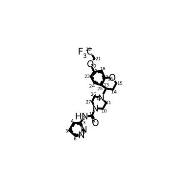 O=C(Nc1cccnn1)N1CCN(C2CCOc3cc(OCC(F)(F)F)ccc32)CC1